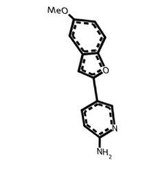 COc1ccc2oc(-c3ccc(N)nc3)cc2c1